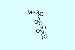 C=C1CN(C(=O)C(=O)COC(=O)/C=C/C(=O)OC)CCO1